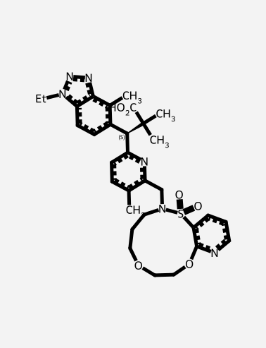 CCn1nnc2c(C)c([C@H](c3ccc(C)c(CN4CCCOCCOc5ncccc5S4(=O)=O)n3)C(C)(C)C(=O)O)ccc21